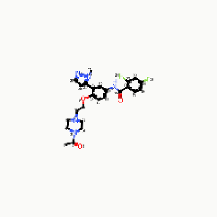 CC(=O)N1CCN(CCOc2ccc(NC(=O)c3ccc(F)cc3F)cc2-c2ccnn2C)CC1